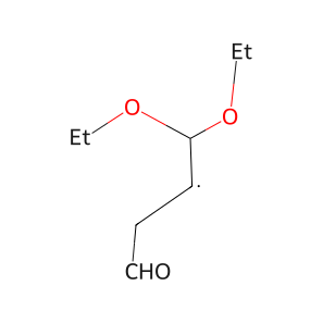 CCOC([CH]CC=O)OCC